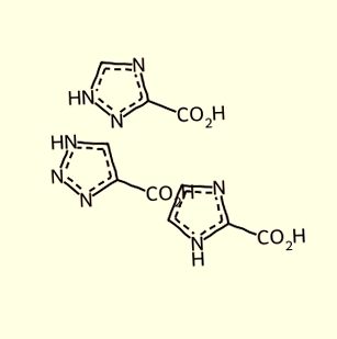 O=C(O)c1c[nH]nn1.O=C(O)c1nc[nH]n1.O=C(O)c1ncc[nH]1